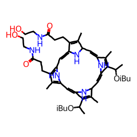 CC1=C(CCC(=O)NCCO)/C2=C/c3[nH]c(c(C)c3CCC(=O)NCCO)/C=C3\NC(/C=c4\[nH]/c(c(C)c4C(C)OCC(C)C)=C\C1N2)C(C)=C3C(C)OCC(C)C